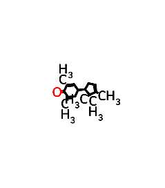 CC1=CC(C2CC=C(C)C2(C)C)CC(C)C1=O